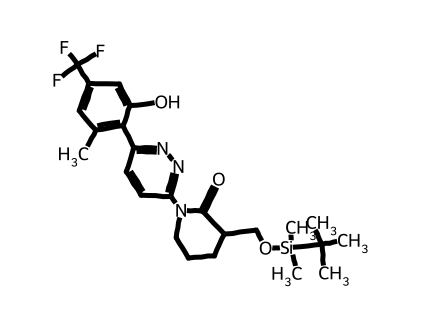 Cc1cc(C(F)(F)F)cc(O)c1-c1ccc(N2CCCC(CO[Si](C)(C)C(C)(C)C)C2=O)nn1